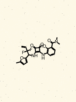 C=CC(F)(F)C(Nc1c(Nc2cccc(C(=O)N(C)C)c2O)c(=O)c1=O)c1ccc(C)o1